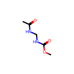 COC(=O)NCNC(C)=O